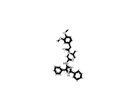 COc1ccc(CC(=O)N(CC(=O)Nc2nc(-c3ccccc3)[nH]c2-c2ccccc2)C(C)C)cc1OC